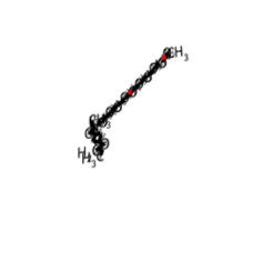 C=C(CC)C(=O)c1ccc(C(=O)N(CC)CCOCCOCCOCCOCCOCCOCCOCCOCCOCCOC)cc1